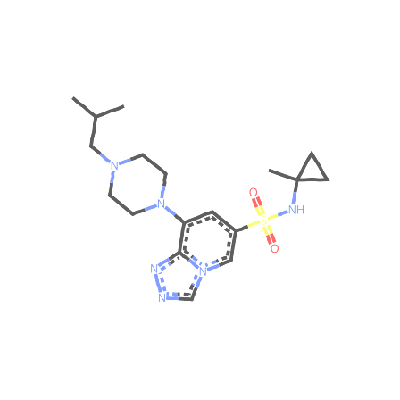 CC(C)CN1CCN(c2cc(S(=O)(=O)NC3(C)CC3)cn3cnnc23)CC1